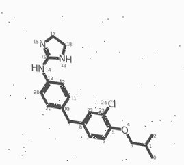 CC(C)COc1ccc(Cc2ccc(NC3=NCCN3)cc2)cc1Cl